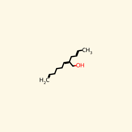 C=CCCCC=C(CO)CC=CC